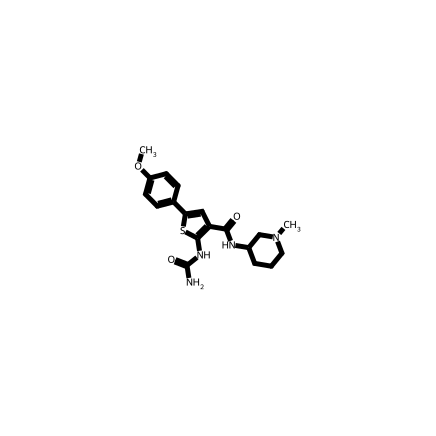 COc1ccc(-c2cc(C(=O)NC3CCCN(C)C3)c(NC(N)=O)s2)cc1